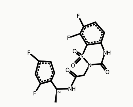 C[C@H](NC(=O)CN1C(=O)Nc2ccc(F)c(F)c2S1(=O)=O)c1ccc(F)cc1F